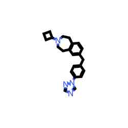 c1ncn(-c2ccc(Cc3ccc4c(c3)CCN(C3CCC3)CC4)cc2)n1